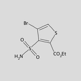 CCOC(=O)c1scc(Br)c1S(N)(=O)=O